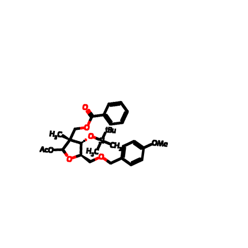 COc1ccc(COC[C@H]2OC(OC(C)=O)[C@](C)(COC(=O)c3ccccc3)[C@@H]2O[Si](C)(C)C(C)(C)C)cc1